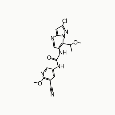 COc1ncc(NC(=O)Nc2cnc3cc(Cl)nn3c2C(C)OC)cc1C#N